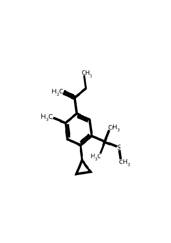 C=C(CC)c1cc(C(C)(C)SC)c(C2CC2)cc1C